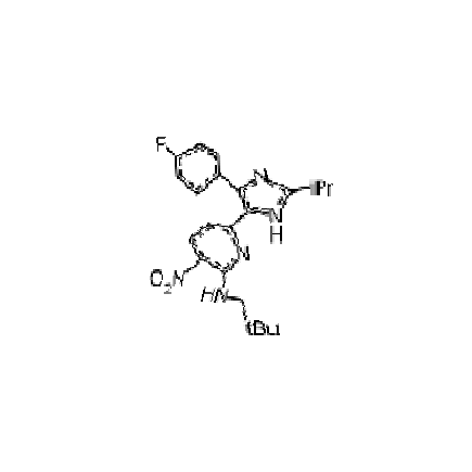 CC(C)c1nc(-c2ccc(F)cc2)c(-c2ccc([N+](=O)[O-])c(NCC(C)(C)C)n2)[nH]1